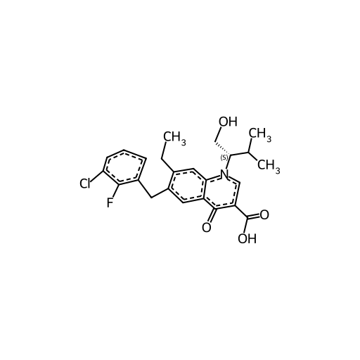 CCc1cc2c(cc1Cc1cccc(Cl)c1F)c(=O)c(C(=O)O)cn2[C@H](CO)C(C)C